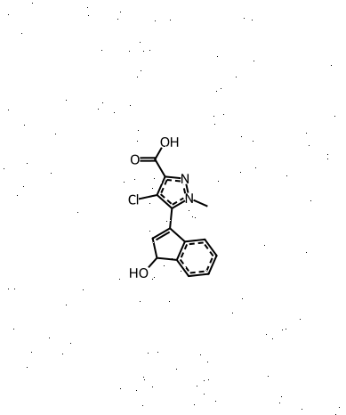 Cn1nc(C(=O)O)c(Cl)c1C1=CC(O)c2ccccc21